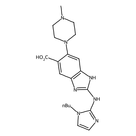 CCCCn1ccnc1Nc1nc2cc(C(=O)O)c(N3CCN(C)CC3)cc2[nH]1